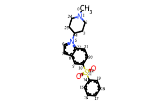 CN1CCC(n2ccc3cc(S(=O)(=O)c4ccccc4)ccc32)CC1